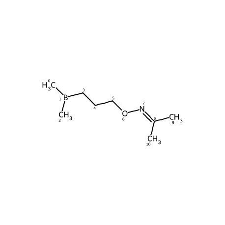 CB(C)CCCON=C(C)C